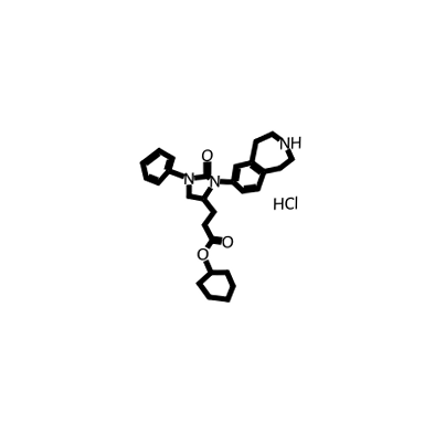 Cl.O=C(CCC1CN(c2ccccc2)C(=O)N1c1ccc2c(c1)CCNCC2)OC1CCCCC1